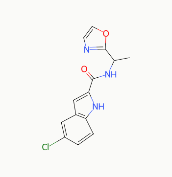 CC(NC(=O)c1cc2cc(Cl)ccc2[nH]1)c1ncco1